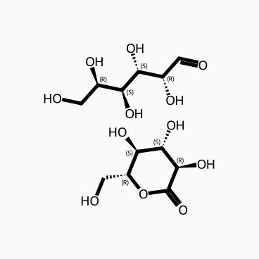 O=C1O[C@H](CO)[C@@H](O)[C@H](O)[C@H]1O.O=C[C@H](O)[C@@H](O)[C@@H](O)[C@H](O)CO